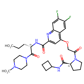 O=C(O)CC[C@H](NC(=O)c1cc(OCC(=O)N2CCC[C@H]2C(=O)NC2CCC2)c2cc(F)c(F)cc2n1)C(=O)N1CCN(C(=O)O)CC1